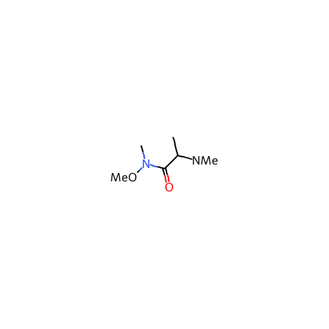 CNC(C)C(=O)N(C)OC